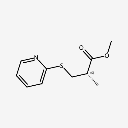 COC(=O)[C@H](C)CSc1ccccn1